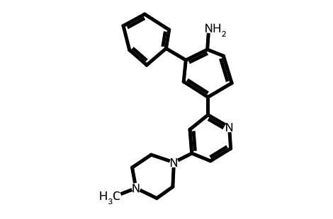 CN1CCN(c2ccnc(-c3ccc(N)c(-c4ccccc4)c3)c2)CC1